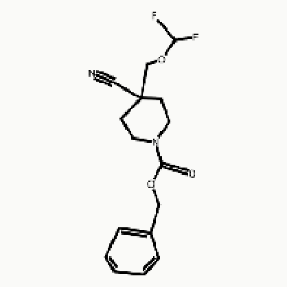 N#CC1(COC(F)F)CCN(C(=O)OCc2ccccc2)CC1